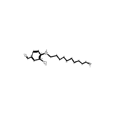 O=Cc1ccc(OCCCCCCCCCCBr)c(Cl)c1